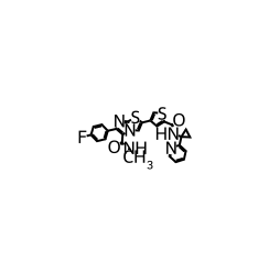 CNC(=O)c1c(-c2ccc(F)cc2)nc2sc(-c3csc(C(=O)NC4(c5ccccn5)CC4)c3)cn12